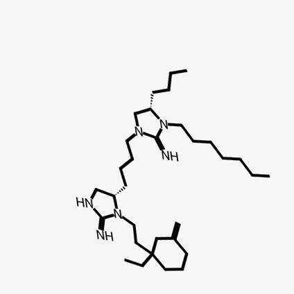 C=C1CCCC(CC)(CCN2C(=N)NC[C@@H]2CCCCN2C[C@H](CCCC)N(CCCCCCC)C2=N)C1